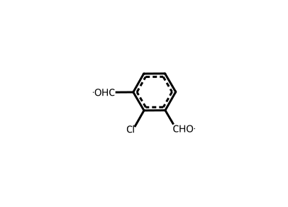 O=[C]c1cccc([C]=O)c1Cl